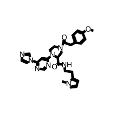 COc1ccc(CC(=O)N2CCN(c3cc(-n4ccnc4)ncn3)C(C(=O)NCCc3cccn3C)C2)cc1